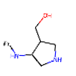 CC(C)NC1CNCC1CO